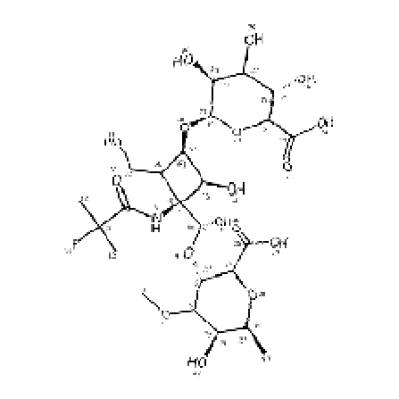 COC1[C@H](O[C@@H](O)[C@@]2(NC(=O)C(C)(C)F)C(O)[C@H](O[C@@H]3OC(C(=O)O)[C@@H](O)C(O)[C@@H]3O)C2CO)C(C(=O)O)O[C@@H](C)[C@H]1O